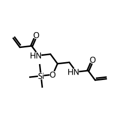 C=CC(=O)NCC(CNC(=O)C=C)O[Si](C)(C)C